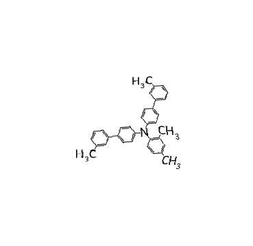 Cc1cccc(-c2ccc(N(c3ccc(-c4cccc(C)c4)cc3)c3ccc(C)cc3C)cc2)c1